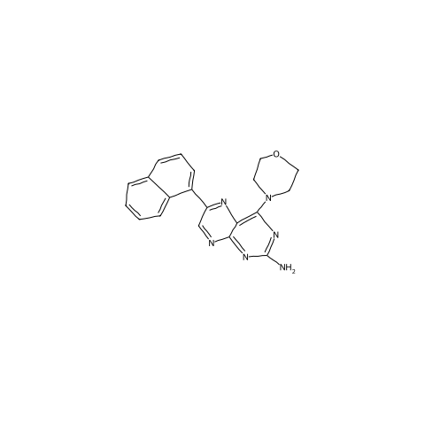 Nc1nc(N2CCOCC2)c2nc(-c3cccc4ccccc34)cnc2n1